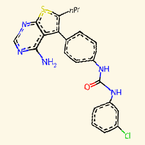 CCCc1sc2ncnc(N)c2c1-c1ccc(NC(=O)Nc2cccc(Cl)c2)cc1